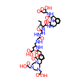 CC[C@H](C)[C@H](NC(=O)CNC(=O)CNCC(CCC(=O)O)NC(=O)Cc1ccc(CC2CN(CC(=O)O)CCN(CC(=O)O)CCN2CC(=O)O)cc1)C(=O)N[C@H]1CCc2cccc3c2N(C1=O)[C@H](C(=O)NC1CC(=O)OC1O)C3